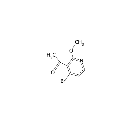 COc1nccc(Br)c1C(C)=O